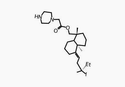 CC[C@@](C)(I)C/C=C1\CCCC2[C@](C)(COC(=O)CN3CCNCC3)CCC[C@@]12C